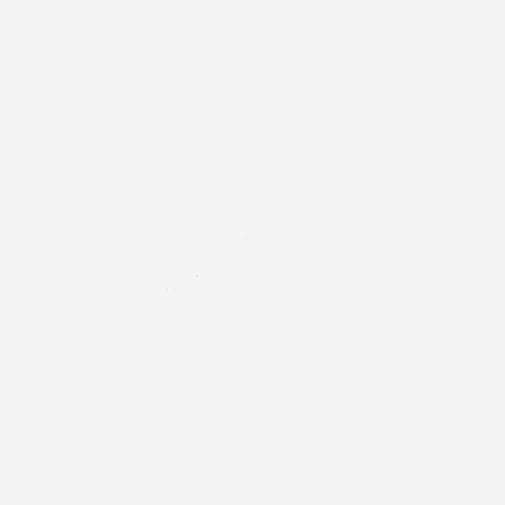 CC(C)Cc1cccc2c1C(=S)c1ccccc1C2=O